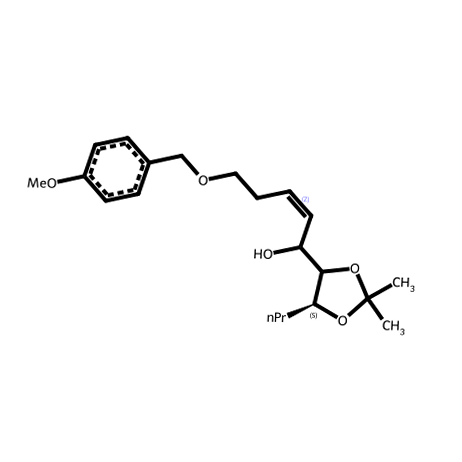 CCC[C@@H]1OC(C)(C)OC1C(O)/C=C\CCOCc1ccc(OC)cc1